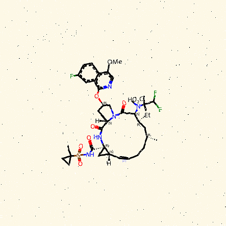 CC[C@@H]1C[C@H](C)CC/C=C\[C@@H]2C[C@@]2(C(=O)NS(=O)(=O)C2(C)CC2)NC(=O)[C@@H]2C[C@@H](Oc3ncc(OC)c4ccc(F)cc34)CN2C(=O)[C@H]1N(C(=O)O)C(C)(C)C(F)F